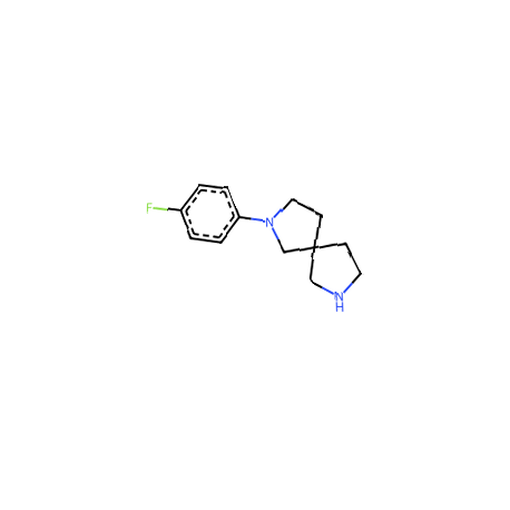 Fc1ccc(N2CCC3(CCNC3)C2)cc1